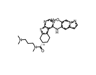 COc1cn2nccc2cc1Nc1ncnc2sc3c(c12)CC[C@H](C(=O)N(C)CCCN(C)C)C3